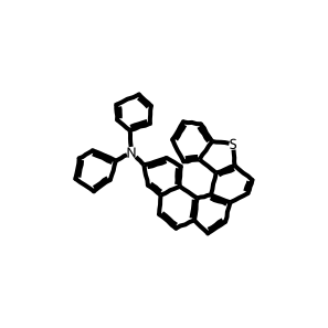 c1ccc(N(c2ccccc2)c2ccc3c(ccc4ccc5ccc6sc7ccccc7c6c5c43)c2)cc1